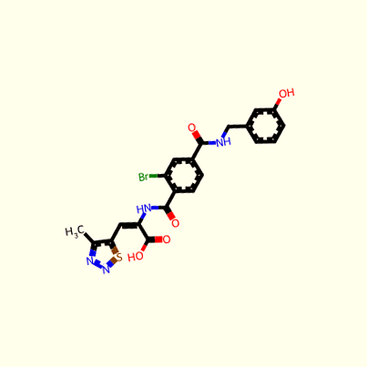 Cc1nnsc1C=C(NC(=O)c1ccc(C(=O)NCc2cccc(O)c2)cc1Br)C(=O)O